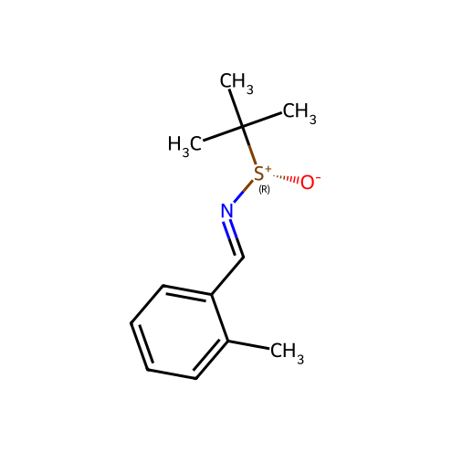 Cc1ccccc1C=N[S@@+]([O-])C(C)(C)C